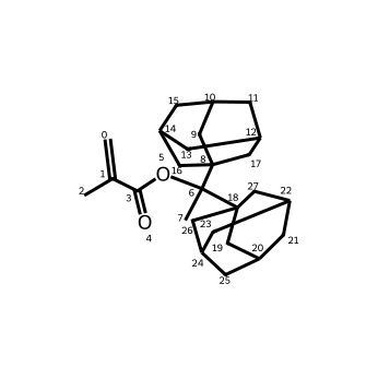 C=C(C)C(=O)OC(C)(C12CC3CC(CC(C3)C1)C2)C12CC3CC(CC(C3)C1)C2